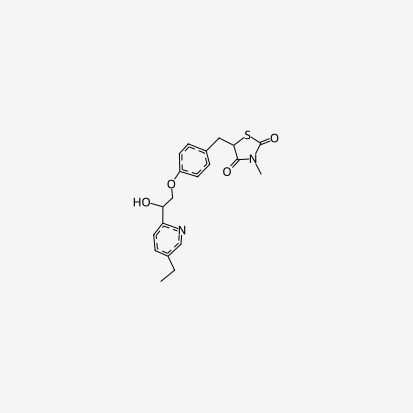 CCc1ccc(C(O)COc2ccc(CC3SC(=O)N(C)C3=O)cc2)nc1